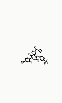 N#Cc1ccc(N2CC(=O)N(Cc3ccc(C(F)(F)F)cc3)[C@@]3(CCN(C(=O)C4CCC4)C3)C2=O)c(F)c1